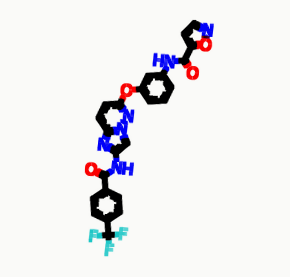 O=C(Nc1cn2nc(Oc3cccc(NC(=O)c4ccno4)c3)ccc2n1)c1ccc(C(F)(F)F)cc1